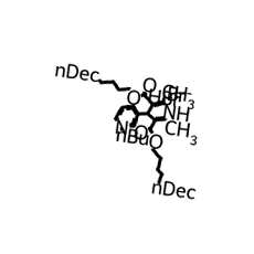 Br.CCCCCCCCCCCCCCOC(=O)C1=C(C)NC(C)=C(C(=O)OCCCCCCCCCCCCCC)C1c1ccc[n+](CCCC)c1.[Br-]